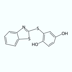 Oc1ccc(O)c(Sc2nc3ccccc3s2)c1